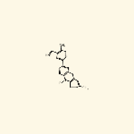 CCN1c2ccc(C)cc2Cc2cc(-c3ccc(N)c(C=N)c3)ccc21